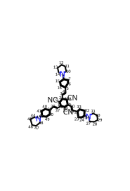 N#Cc1c(C=Cc2ccc(N3CCCCC3)cc2)c(C#N)c(C=Cc2ccc(N3CCCCC3)cc2)c(C#N)c1C=Cc1ccc(N2CCCCC2)cc1